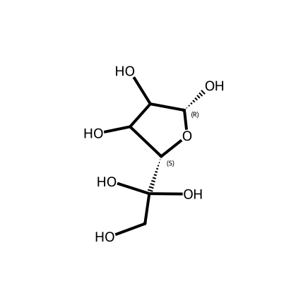 OCC(O)(O)[C@H]1O[C@@H](O)C(O)C1O